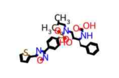 CC(C)CN(C[C@@H](O)[C@H](Cc1ccccc1)NC(=O)O)S(=O)(=O)c1ccc(-c2noc(-c3cccs3)n2)cc1